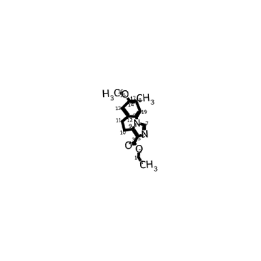 CCOC(=O)c1ncn2c1CCc1cc(OC)c(C)cc1-2